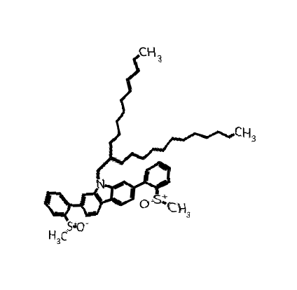 CCCCCCCCCCCCC(CCCCCCCCCC)Cn1c2cc(-c3ccccc3[S+](C)[O-])ccc2c2ccc(-c3ccccc3[S+](C)[O-])cc21